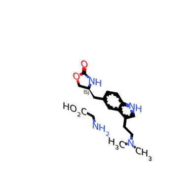 CN(C)CCc1c[nH]c2ccc(C[C@H]3COC(=O)N3)cc12.NCC(=O)O